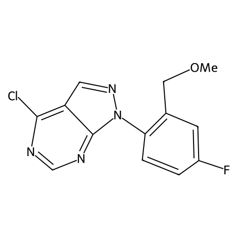 COCc1cc(F)ccc1-n1ncc2c(Cl)ncnc21